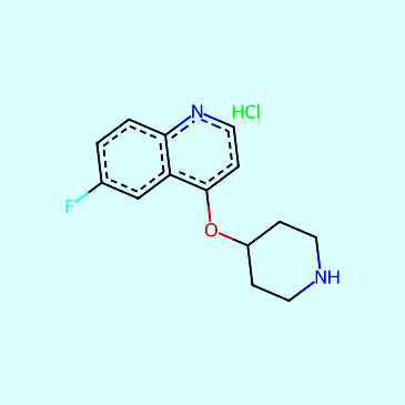 Cl.Fc1ccc2nccc(OC3CCNCC3)c2c1